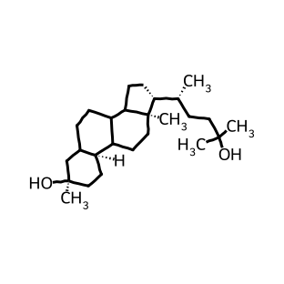 C[C@H](CCC(C)(C)O)[C@H]1CCC2C3CCC4C[C@](C)(O)CC[C@@H]4C3CC[C@@]21C